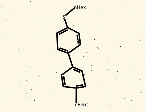 CCCCCCSc1ccc(-c2ccc(CCCCC)cc2)cc1